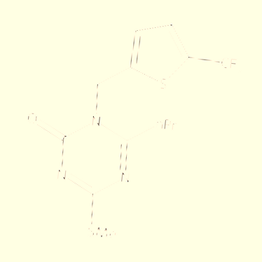 CCCc1nc(SC)nc(=O)n1Cc1ccc(C(F)(F)F)s1